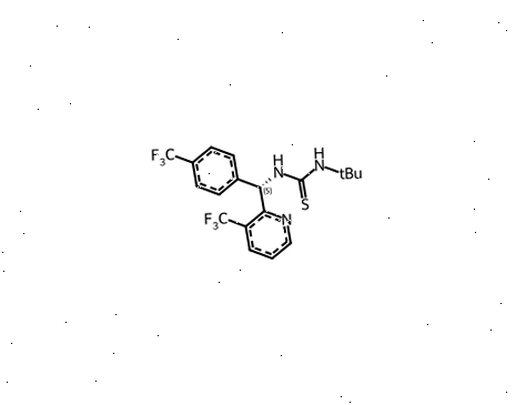 CC(C)(C)NC(=S)N[C@@H](c1ccc(C(F)(F)F)cc1)c1ncccc1C(F)(F)F